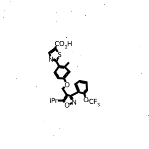 Cc1cc(OCc2c(-c3ccccc3OC(F)(F)F)noc2C(C)C)ccc1-c1ncc(C(=O)O)s1